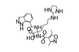 Cc1noc(C)c1S(=O)(=O)NC(CCCCNC1NCCN1)(NC(=O)c1cccc2cn[nH]c12)C(=O)O